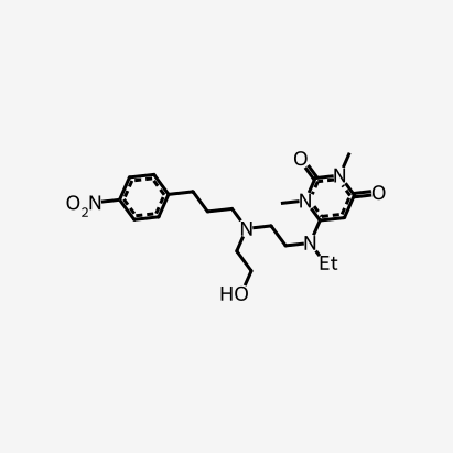 CCN(CCN(CCO)CCCc1ccc([N+](=O)[O-])cc1)c1cc(=O)n(C)c(=O)n1C